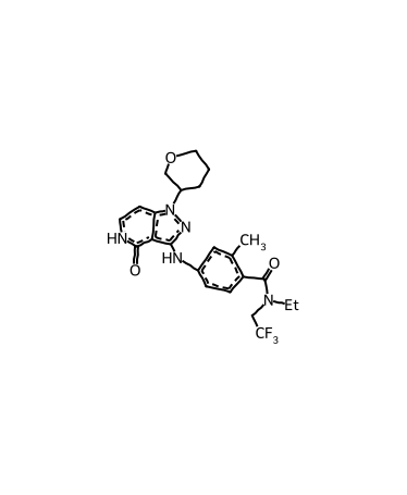 CCN(CC(F)(F)F)C(=O)c1ccc(Nc2nn(C3CCCOC3)c3cc[nH]c(=O)c23)cc1C